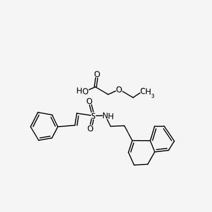 CCOCC(=O)O.O=S(=O)(C=Cc1ccccc1)NCCC1=CCCc2ccccc21